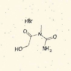 Br.CN(C(N)=O)C(=O)CO